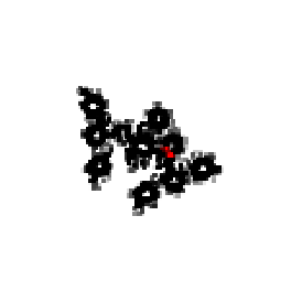 Cc1ccc(Oc2cccc(Oc3ccc(C)cc3)c2-c2ccc(-c3c(Oc4ccccc4)c(Oc4ccccc4)c(-c4ccc(-c5c(Oc6ccc(C)cc6)cccc5Oc5ccc(C)cc5)s4)c4nsnc34)s2)cc1